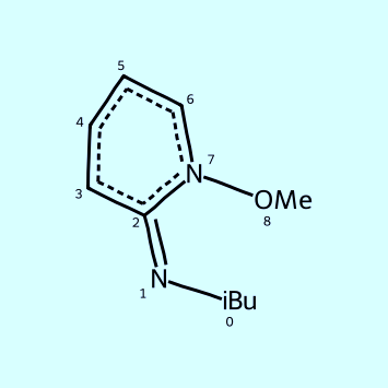 CCC(C)/N=c1/ccccn1OC